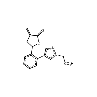 C=C1CC(c2ccccc2-c2cnn(CC(=O)O)c2)OC1=O